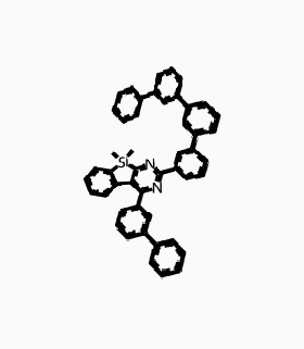 C[Si]1(C)c2ccccc2-c2c(-c3cccc(-c4ccccc4)c3)nc(-c3cccc(-c4cccc(-c5cccc(-c6ccccc6)c5)c4)c3)nc21